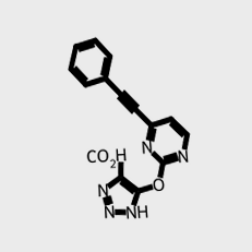 O=C(O)c1nn[nH]c1Oc1nccc(C#Cc2ccccc2)n1